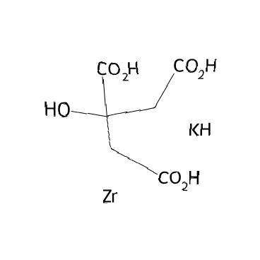 O=C(O)CC(O)(CC(=O)O)C(=O)O.[KH].[Zr]